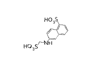 O=S(=O)(O)CNc1ccc2c(S(=O)(=O)O)cccc2c1